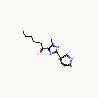 CCCCCC(=O)c1nc(-c2cccnc2)[nH]c1C